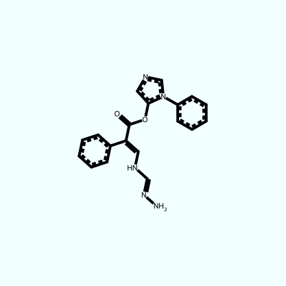 NN=CNC=C(C(=O)Oc1cncn1-c1ccccc1)c1ccccc1